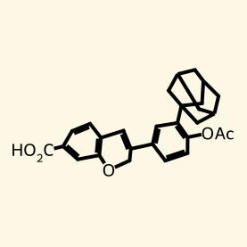 CC(=O)Oc1ccc(C2=Cc3ccc(C(=O)O)cc3OC2)cc1C12CC3CC(CC(C3)C1)C2